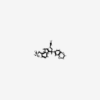 CC(CCC#N)(c1ccc2c(c1)OCCO2)c1c[nH]c2c(CS(C)(=O)=O)cccc12